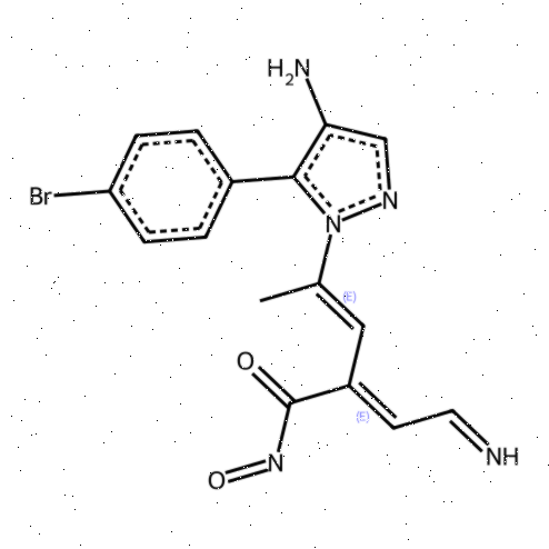 C/C(=C\C(=C/C=N)C(=O)N=O)n1ncc(N)c1-c1ccc(Br)cc1